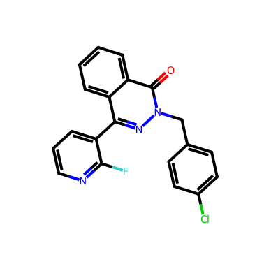 O=c1c2ccccc2c(-c2cccnc2F)nn1Cc1ccc(Cl)cc1